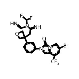 N=CN(C(=N)CC1(c2cccc(-n3cc4c(C(F)(F)F)cc(Br)cn4c3=O)c2)COC1)C(F)F